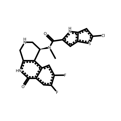 CN(C(=O)c1cc2sc(Cl)cc2[nH]1)[C@@H]1CNCc2[nH]c(=O)c3cc(F)c(F)cc3c21